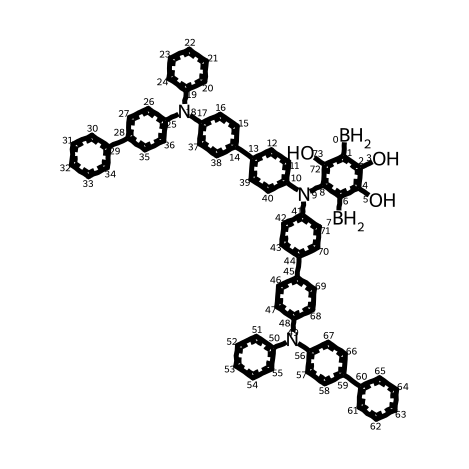 Bc1c(O)c(O)c(B)c(N(c2ccc(-c3ccc(N(c4ccccc4)c4ccc(-c5ccccc5)cc4)cc3)cc2)c2ccc(-c3ccc(N(c4ccccc4)c4ccc(-c5ccccc5)cc4)cc3)cc2)c1O